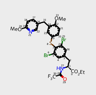 CCOC(=O)[C@H](Cc1cc(Br)c(Sc2ccc(OC)c(Cc3ccc(OC)nc3)c2)c(Br)c1)NC(=O)C(F)(F)F